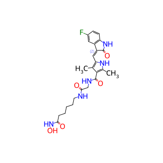 Cc1[nH]c(/C=C2\C(=O)Nc3ccc(F)cc32)c(C)c1C(=O)NCC(=O)NCCCCCC(=O)NO